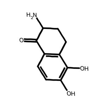 NC1CCc2c(ccc(O)c2O)C1=O